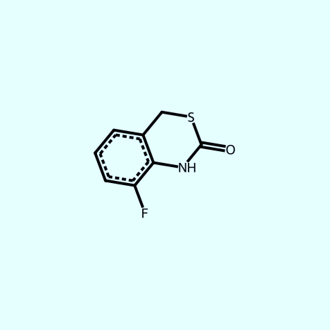 O=C1Nc2c(F)cccc2CS1